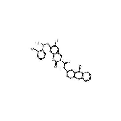 Cc1ccccc1C(C)Oc1cc2oc(=O)c(C(=O)Nc3ccc4sc5ccccc5c(=O)c4c3)cc2cc1Cl